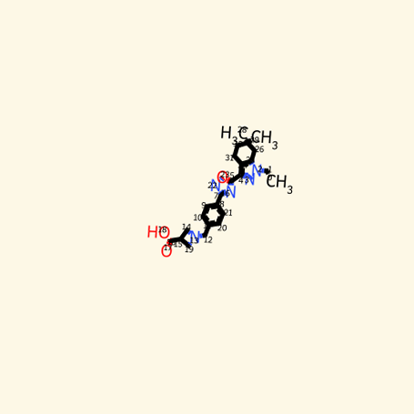 CCn1nc(-c2nc(-c3ccc(CN4CC(C(=O)O)C4)cc3)no2)c2c1CC(C)(C)CC2